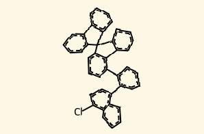 Clc1ccc(-c2ccccc2-c2cccc3c2-c2ccccc2C32c3ccccc3-c3ccccc32)c2ccccc12